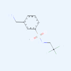 NCc1cccc(S(=O)(=O)NCC(F)(F)F)c1